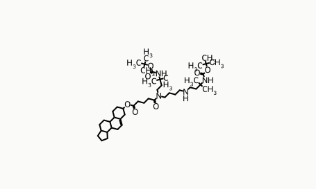 CC(C)(CCNCCCCN(CCC(C)(C)NC(=O)OC(C)(C)C)C(=O)CCCC(=O)OC1CCC2C(=CCC3C4CCCC4CCC23)C1)NC(=O)OC(C)(C)C